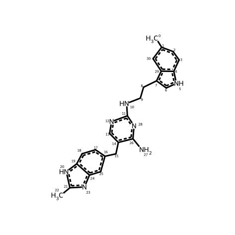 Cc1ccc2[nH]cc(CCNc3ncc(Cc4ccc5[nH]c(C)nc5c4)c(N)n3)c2c1